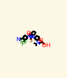 CC(C)N1CC(CO)Oc2ccc(N3C(=S)N(c4ccc(C#N)c(C(F)(F)F)c4)C(=O)C34CCCC4)cc21